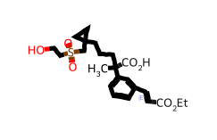 CCOC(=O)/C=C/c1cccc(C(C)(CCCC2(CS(=O)(=O)CCO)CC2)C(=O)O)c1